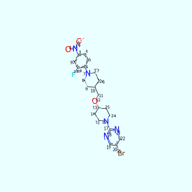 O=[N+]([O-])c1ccc(N2CCC(COC3CCN(c4ncc(Br)cn4)CC3)CC2)c(F)c1